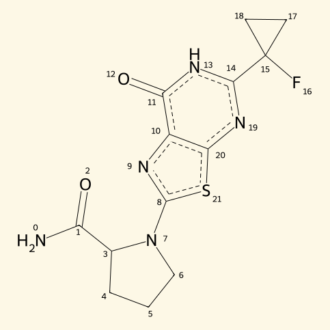 NC(=O)C1CCCN1c1nc2c(=O)[nH]c(C3(F)CC3)nc2s1